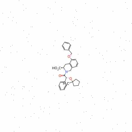 CC1(O[C@@H](C(=O)N2Cc3cccc(OCc4ccccc4)c3C[C@@H]2C(=O)O)c2ccccc2)CCCC1